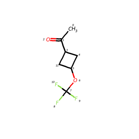 CC(=O)C1CC(OC(F)(F)F)C1